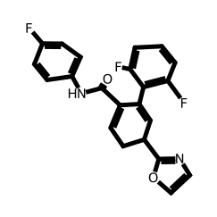 O=C(Nc1ccc(F)cc1)C1=CCC(c2ncco2)C=C1c1c(F)cccc1F